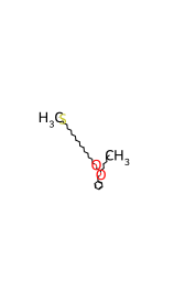 CCCCCC(COCCCCCCCCCCCCCCCSC)OCc1ccccc1